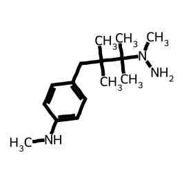 CNc1ccc(CC(C)(C)C(C)(C)N(C)N)cc1